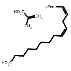 C=C(C)C(=O)O.CCCCC/C=C\C/C=C\CCCCCCCC(=O)O